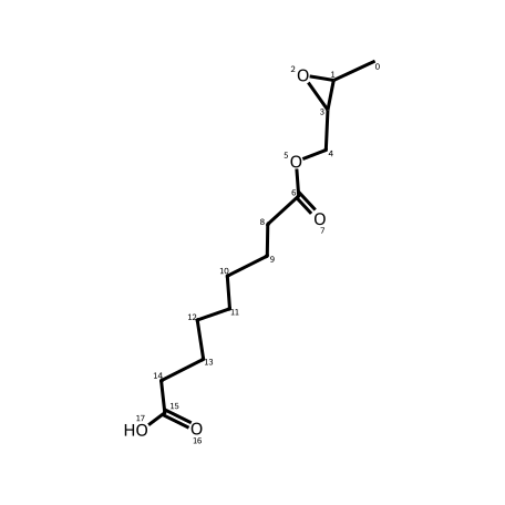 CC1OC1COC(=O)CCCCCCCC(=O)O